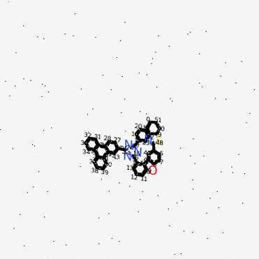 C1=CC2N=C(c3ccc4oc5cccc(-c6nc(-c7ccccc7)nc(-c7ccc8c9ccccc9c9ccccc9c8c7)n6)c5c4c3)SC2C=C1